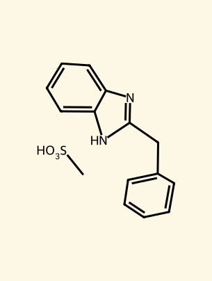 CS(=O)(=O)O.c1ccc(Cc2nc3ccccc3[nH]2)cc1